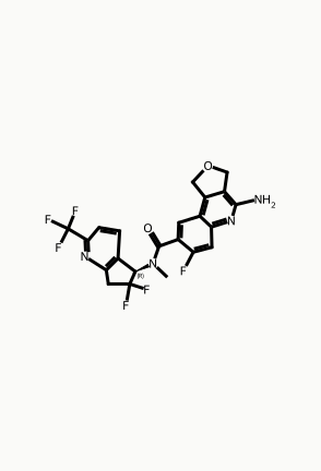 CN(C(=O)c1cc2c3c(c(N)nc2cc1F)COC3)[C@@H]1c2ccc(C(F)(F)F)nc2CC1(F)F